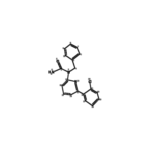 NC(=O)N(Cc1ccccc1)c1cccc(-c2ccccc2Cl)n1